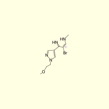 CN/C=C(/Br)C(=N)c1cnn(CCOC)c1